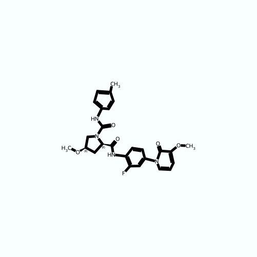 COc1cccn(-c2ccc(NC(=O)[C@H]3C[C@@H](OC)CN3C(=O)Nc3ccc(C)cc3)c(F)c2)c1=O